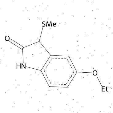 CCOc1ccc2c(c1)C(SC)C(=O)N2